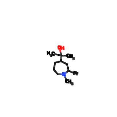 CC(C)C1CC(C(C)(C)O)CCCN1C